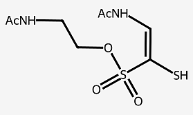 CC(=O)NC=C(S)S(=O)(=O)OCCNC(C)=O